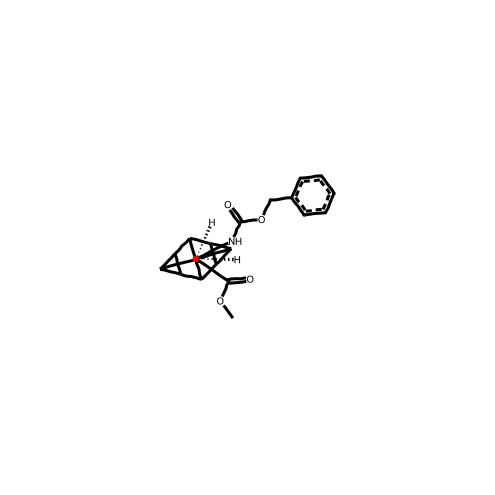 COC(=O)[C@@H]1C2C3C4CC5C2C5C(C43)[C@@H]1NC(=O)OCc1ccccc1